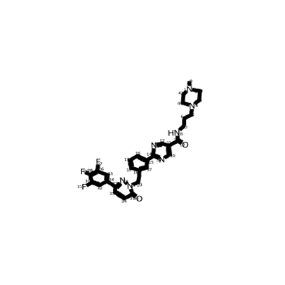 CN1CCN(CCCNC(=O)c2cnc(-c3cccc(Cn4nc(-c5cc(F)c(F)c(F)c5)ccc4=O)c3)nc2)CC1